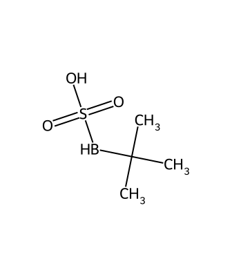 CC(C)(C)BS(=O)(=O)O